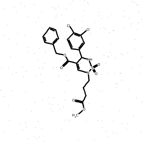 COC(=O)CCCN1C=C(C(=O)OCc2ccccc2)C(c2ccc(Cl)c(Cl)c2)NS1(=O)=O